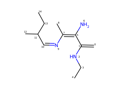 C=C(NCC)/C(N)=C(C)\N=C/C(C)CC